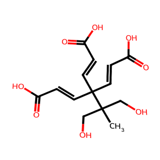 CC(CO)(CO)C(C=CC(=O)O)(C=CC(=O)O)C=CC(=O)O